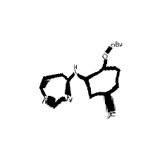 CCCCOC1CCC(F)CC1Nc1ccncn1